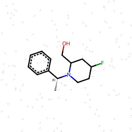 C[C@H](c1ccccc1)N1CCC(F)CC1CO